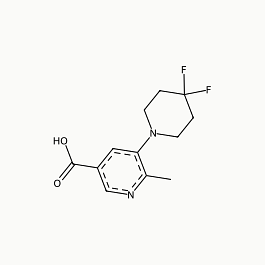 Cc1ncc(C(=O)O)cc1N1CCC(F)(F)CC1